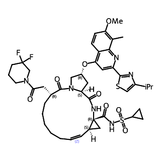 COc1ccc2c(O[C@@H]3C[C@H]4C(=O)N[C@]5(C(=O)NS(=O)(=O)C6CC6)C[C@H]5/C=C\CCCCC[C@H](CC(=O)N5CCCC(F)(F)C5)C(=O)N4C3)cc(-c3nc(C(C)C)cs3)nc2c1C